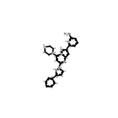 Nc1cccc(-c2cc3nc(-n4ccc(-c5ccccc5)n4)cc(N4CCOCC4)n3n2)n1